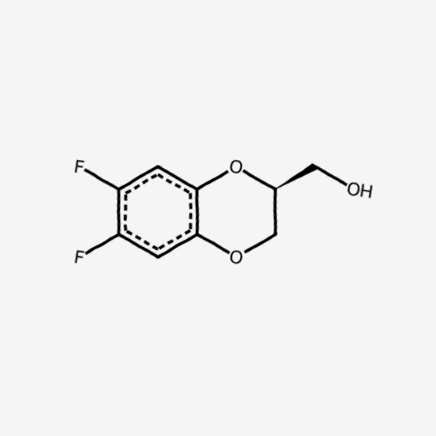 OC[C@H]1COc2cc(F)c(F)cc2O1